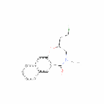 CN1CC(CCCl)Oc2cc3ccccc3cc2C1=O